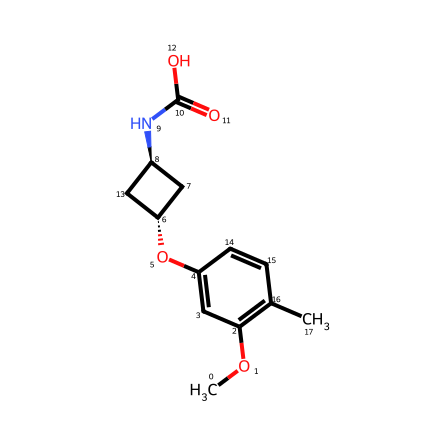 COc1cc(O[C@H]2C[C@H](NC(=O)O)C2)ccc1C